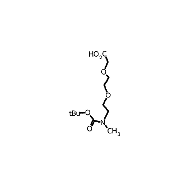 CN(CCOCCOCC(=O)O)C(=O)OC(C)(C)C